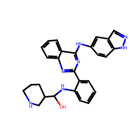 OC(Nc1ccccc1-c1nc(Nc2ccc3[nH]ncc3c2)c2ccccc2n1)C1CCCNC1